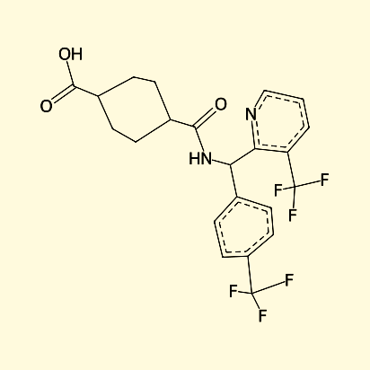 O=C(O)C1CCC(C(=O)NC(c2ccc(C(F)(F)F)cc2)c2ncccc2C(F)(F)F)CC1